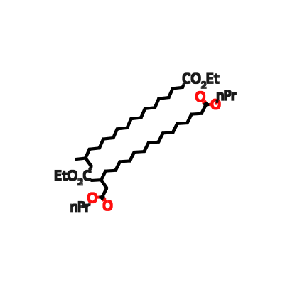 CCCOC(=O)CCCCCCCCCCCCCCC(C)CC(=O)OCCC.CCOC(=O)CCCCCCCCCCCCCCC(C)CC(=O)OCC